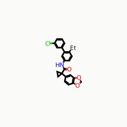 CCc1ccc(NC(=O)C2(c3ccc4c(c3)OCO4)CC2)cc1-c1cccc(Cl)c1